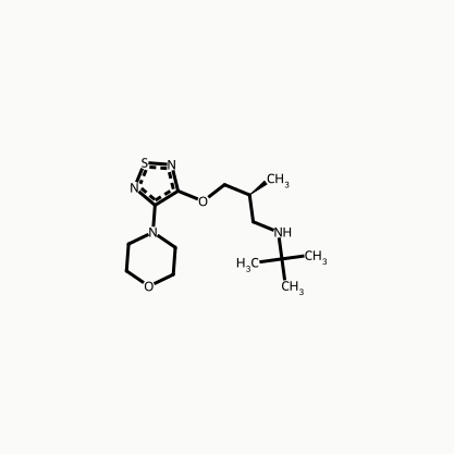 C[C@@H](CNC(C)(C)C)COc1nsnc1N1CCOCC1